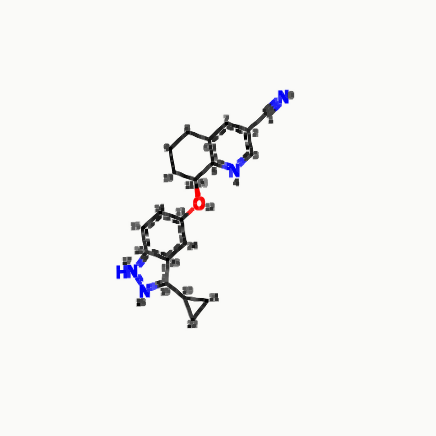 N#Cc1cnc2c(c1)CCC[C@@H]2Oc1ccc2[nH]nc(C3CC3)c2c1